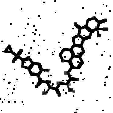 CC[C@@]1(O)C(=O)OCc2c1cc1n(c2=O)Cc2c-1nc1ccc(NC(=O)[C@H](C)NC(=O)[C@@H](NC(=O)c3cc4sc(S(=O)(=O)C5CC5)nc4cc3F)C(C)C)c3c1c2CCO3